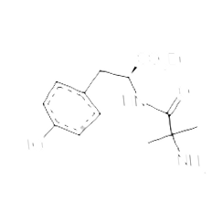 CCOC(=O)[C@H](Cc1ccc(O)cc1)NC(=O)C(C)(C)N